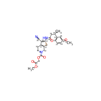 COC(=O)COC(=O)N1CCc2c(sc(NC(=O)CC(C)c3cccc(OC)c3)c2C#N)C1